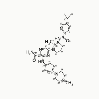 C[C@@H]1[C@H](NC(=O)c2ccc(C3CC3)cn2)CCCN1c1cnc(C(N)=O)c(Nc2ccc(N3CCN(C)CC3)cc2)n1